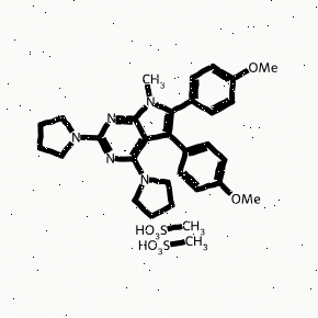 COc1ccc(-c2c(-c3ccc(OC)cc3)n(C)c3nc(N4CCCC4)nc(N4CCCC4)c23)cc1.CS(=O)(=O)O.CS(=O)(=O)O